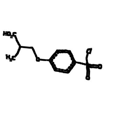 CC(COc1ccc(S(=O)(=O)Cl)cc1)C(=O)O